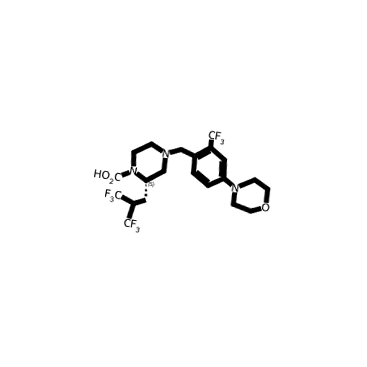 O=C(O)N1CCN(Cc2ccc(N3CCOCC3)cc2C(F)(F)F)C[C@@H]1CC(C(F)(F)F)C(F)(F)F